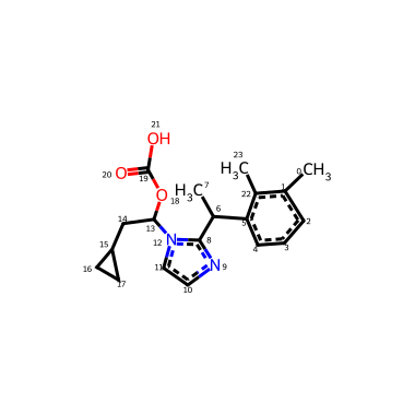 Cc1cccc(C(C)c2nccn2C(CC2CC2)OC(=O)O)c1C